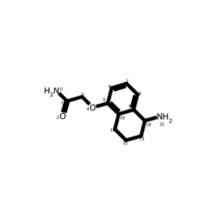 NC(=O)COc1cccc2c1CCCC2N